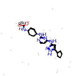 CC(C)(C)OC(=O)N[C@H]1CC[C@@H](Nc2nccc(Nc3cc(C4CCCC4)[nH]n3)n2)CC1